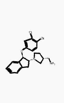 N#Cc1ccc(O[C@@H]2c3ccccc3C[C@H]2N2CC[C@H](CN)C2)cc1Cl